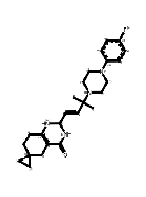 CC(C)(C=CC1NC(=O)C2=C(CCC3(CC3)C2)N1)N1CCN(c2ccc(F)cc2)CC1